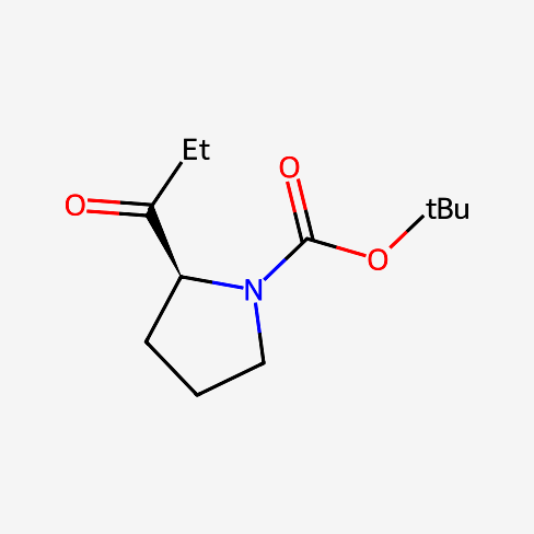 CCC(=O)[C@@H]1CCCN1C(=O)OC(C)(C)C